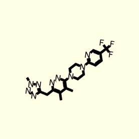 Cc1c(Cc2nnn(C)n2)nnc(N2CCN(c3ccc(C(F)(F)F)cn3)CC2)c1C